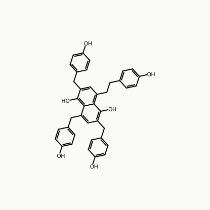 Oc1ccc(CCc2cc(Cc3ccc(O)cc3)c(O)c3c(Cc4ccc(O)cc4)cc(Cc4ccc(O)cc4)c(O)c23)cc1